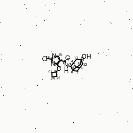 O=C(NC1C2CC3CC1CC(O)(C3)C2)c1cnc(Cl)nc1OC1CCC1